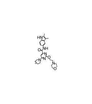 Cc1[nH]c2ccc(NC(=O)c3cc(N4CCSC4)nc(OCCN4CCOCC4)n3)cc2c1C